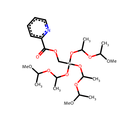 COC(C)OC(C)O[Si](COC(=O)c1ccccn1)(OC(C)OC(C)OC)OC(C)OC(C)OC